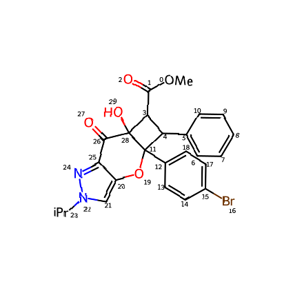 COC(=O)C1C(c2ccccc2)C2(c3ccc(Br)cc3)Oc3cn(C(C)C)nc3C(=O)C12O